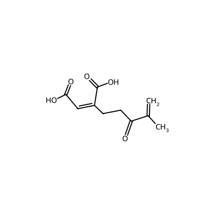 C=C(C)C(=O)CC/C(=C/C(=O)O)C(=O)O